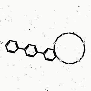 c1ccc(-c2ccc(-c3ccc4c(c3)OCCOCCOCCOCCO4)cc2)cc1